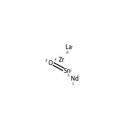 [La].[Nd].[O]=[Sn].[Zr]